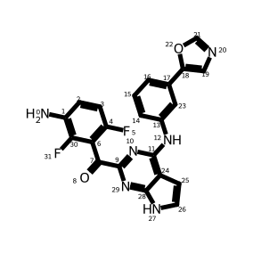 Nc1ccc(F)c(C(=O)c2nc(Nc3cccc(-c4cnco4)c3)c3cc[nH]c3n2)c1F